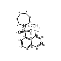 C[C@H]1CCCCCN1S(=O)(=O)c1cccc2cncc(F)c12